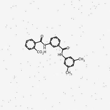 Cc1cc(C)cc(NC(=O)c2cccc(NC(=O)c3ccccc3C(=O)O)c2)c1